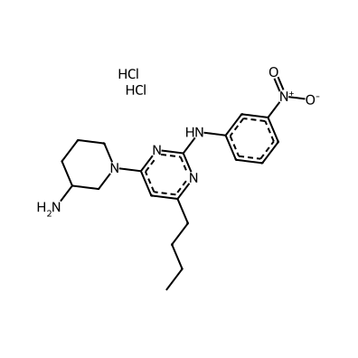 CCCCc1cc(N2CCCC(N)C2)nc(Nc2cccc([N+](=O)[O-])c2)n1.Cl.Cl